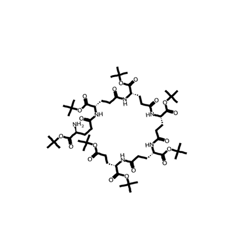 CC(C)(C)OC(=O)CC[C@H](NC(=O)CC[C@H](NC(=O)CC[C@H](NC(=O)CC[C@H](NC(=O)CC[C@H](NC(=O)CC[C@H](N)C(=O)OC(C)(C)C)C(=O)OC(C)(C)C)C(=O)OC(C)(C)C)C(=O)OC(C)(C)C)C(=O)OC(C)(C)C)C(=O)OC(C)(C)C